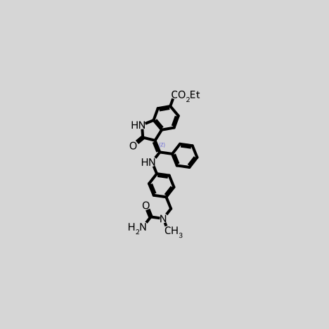 CCOC(=O)c1ccc2c(c1)NC(=O)/C2=C(\Nc1ccc(CN(C)C(N)=O)cc1)c1ccccc1